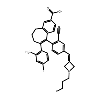 Cc1cc(F)ccc1C1=C(c2ccc(C=C3CN(CCCF)C3)cc2C#N)c2ccc(C(=O)O)cc2CCC1